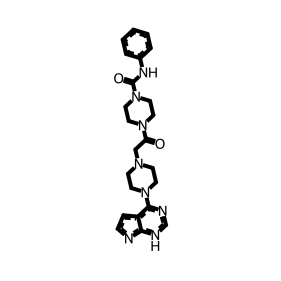 O=C(CN1CCN(c2nc[nH]c3nccc2-3)CC1)N1CCN(C(=O)Nc2ccccc2)CC1